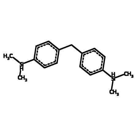 C[SiH](C)c1ccc(Cc2ccc([SiH](C)C)cc2)cc1